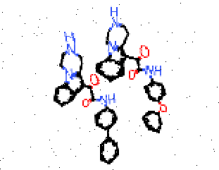 O=C(Nc1ccc(-c2ccccc2)cc1)C(=O)c1c2n(c3ccccc13)CCNCC2.O=C(Nc1ccc(Oc2ccccc2)cc1)C(=O)c1c2n(c3ccccc13)CCNCC2